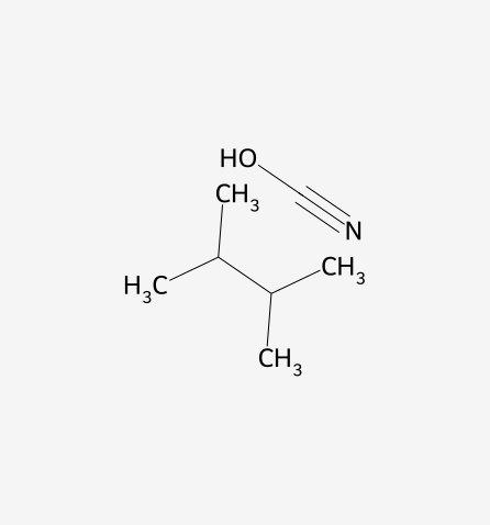 CC(C)C(C)C.N#CO